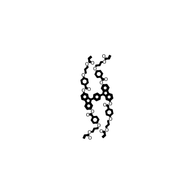 C=CC(=O)OCCCOC1CCC(C(=O)Oc2ccc3c(c2)C(c2ccc(C4c5cc(OC(=O)C6CCC(OCCCOC(=O)C=C)CC6)ccc5-c5ccc(OC(=O)C6CCC(OCCCOC(=O)C=C)CC6)cc54)cc2)c2cc(OC(=O)C4CCC(OCCCOC(=O)C=C)CC4)ccc2-3)CC1